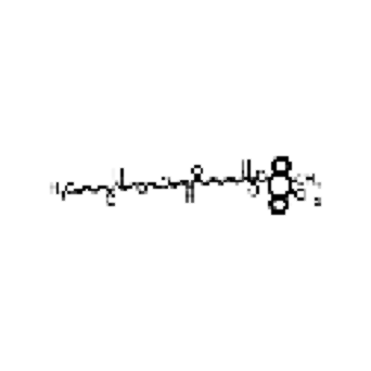 CCCCCC(=O)NCCOCCOCCNC(=O)CCCCCNC(=O)OC1Cc2ccccc2/C(C)=C(/C)c2ccccc21